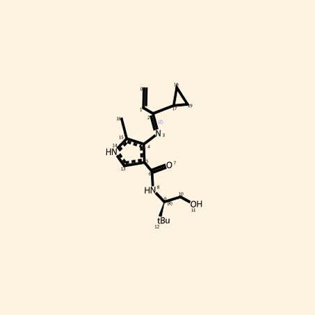 C=C/C(=N\c1c(C(=O)N[C@@H](CO)C(C)(C)C)c[nH]c1C)C1CC1